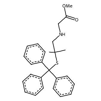 COC(=O)CNCC(C)(C)SC(c1ccccc1)(c1ccccc1)c1ccccc1